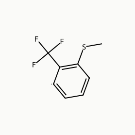 CSc1ccc[c]c1C(F)(F)F